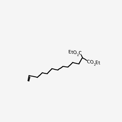 C=CCCCCCCCCCC(C(=O)OCC)C(=O)OCC